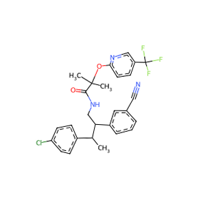 CC(c1ccc(Cl)cc1)C(CNC(=O)C(C)(C)Oc1ccc(C(F)(F)F)cn1)c1cccc(C#N)c1